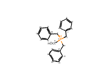 CCCCCCCC[PH](Cc1ccccc1)(Cc1ccccc1)Cc1ccccc1